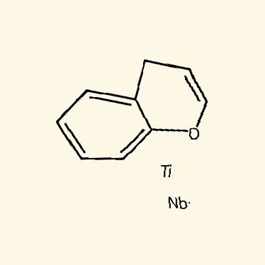 C1=COc2ccccc2C1.[Nb].[Ti]